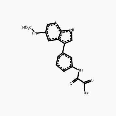 CCC(C)C(=O)C(=O)Nc1cccc(-c2c[nH]c3ncc(NC(=O)O)cc23)c1